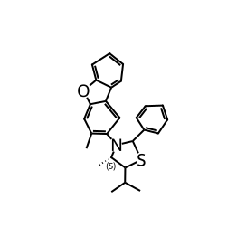 Cc1cc2oc3ccccc3c2cc1N1C(c2ccccc2)SC(C(C)C)[C@@H]1C